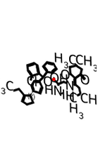 CCCC1=CCC[C@H]1c1ccc(C(OC(O)C(CNC(CC(C)C)=C2C(=O)CC(C)(C)CC2=O)NI)(c2ccccc2)c2ccccc2Cl)cc1